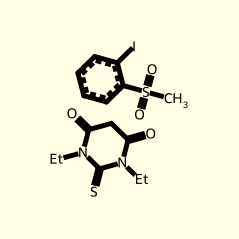 CCN1C(=O)CC(=O)N(CC)C1=S.CS(=O)(=O)c1ccccc1I